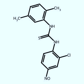 Cc1ccc(C)c(NC(=S)Nc2ccc(N=O)cc2Cl)c1